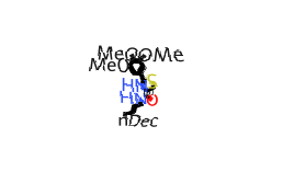 CCCCCCCCCCCCCCNC(=O)[C@H]1CSC(c2cc(OC)c(OC)c(OC)c2)N1